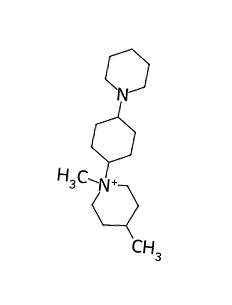 CC1CC[N+](C)(C2CCC(N3CCCCC3)CC2)CC1